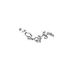 COC(=O)Nc1nc2cc(Nc3ccc(C(F)(F)F)cc3)cnc2[nH]1